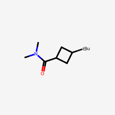 CN(C)C(=O)C1CC(C(C)(C)C)C1